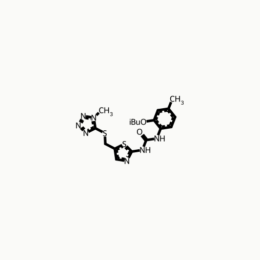 Cc1ccc(NC(=O)Nc2ncc(CSc3nnnn3C)s2)c(OCC(C)C)c1